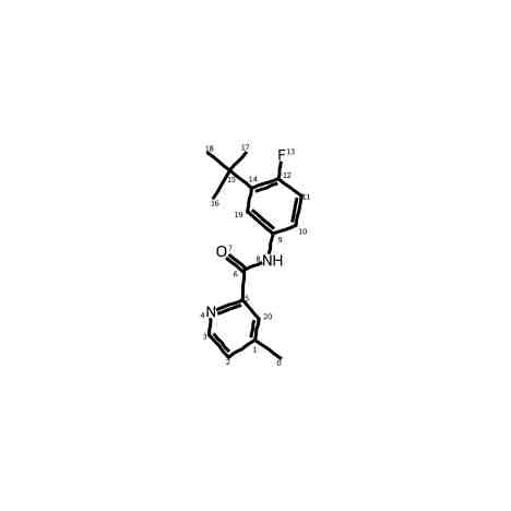 Cc1ccnc(C(=O)Nc2ccc(F)c(C(C)(C)C)c2)c1